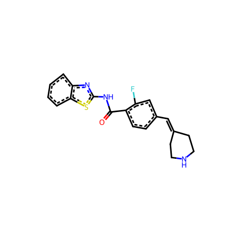 O=C(Nc1nc2ccccc2s1)c1ccc(C=C2CCNCC2)cc1F